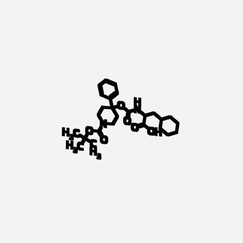 CC(C)(C)OC(=O)N1CCC(OC(=O)NC(CC2CCCCC2)C(=O)O)(c2ccccc2)CC1